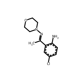 C/C(=N\N1CCOCC1)c1cc(Cl)ccc1N